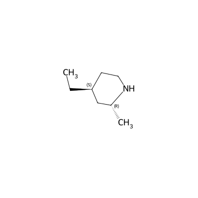 CC[C@H]1CCN[C@H](C)C1